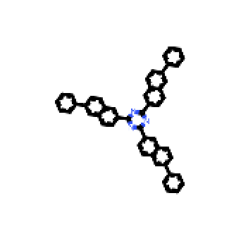 c1ccc(-c2ccc3cc(-c4nc(-c5ccc6cc(-c7ccccc7)ccc6c5)nc(-c5ccc6cc(-c7ccccc7)ccc6c5)n4)ccc3c2)cc1